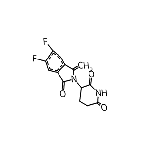 C=C1c2cc(F)c(F)cc2C(=O)N1C1CCC(=O)NC1=O